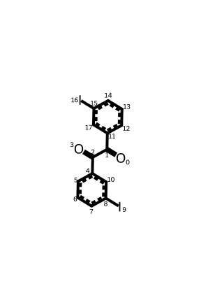 O=C(C(=O)c1cccc(I)c1)c1cccc(I)c1